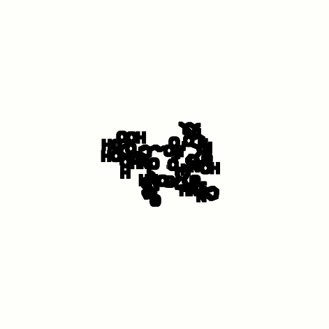 COCCN(CCOC12CC3(C)CC(C)(CC(Cn4ncc(-c5ccc(N6CCc7c(OC)ccc(C(=O)Nc8nc9ccccc9s8)c7C6)nc5C(=O)O)c4C)(C3)C1)C2)C(=O)OC/C=C/c1ccc(O[C@@H]2O[C@H](C(=O)O)[C@@H](O)[C@H](O)[C@H]2O)c(NC(=O)CCNC(=O)CN2C(=O)C=CC2=O)c1